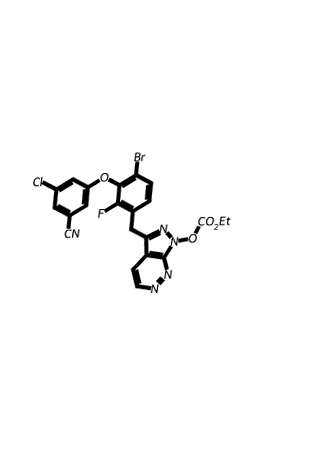 CCOC(=O)On1nc(Cc2ccc(Br)c(Oc3cc(Cl)cc(C#N)c3)c2F)c2ccnnc21